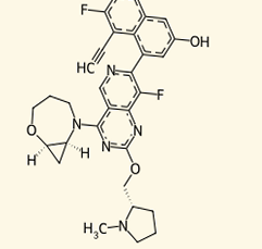 C#Cc1c(F)ccc2cc(O)cc(-c3ncc4c(N5CCCO[C@@H]6C[C@@H]65)nc(OC[C@@H]5CCCN5C)nc4c3F)c12